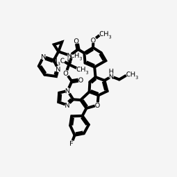 CCNc1cc2oc(-c3ccc(F)cc3)c(-c3nccn3C(=O)OC(C)(C)C)c2cc1-c1ccc(OC)c(C(=O)NC2(c3ncccn3)CC2)c1